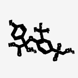 CCS(=O)(=O)c1ccc(OC(C)(C(=O)O)c2ccc(F)cc2)c(C(F)(F)F)c1